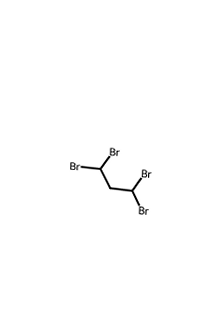 BrC(Br)CC(Br)Br